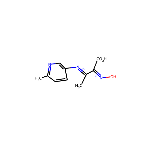 CC(=N\c1ccc(C)nc1)/C(=N/O)C(=O)O